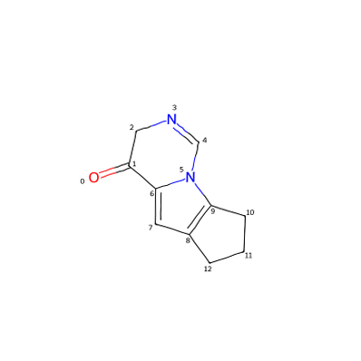 O=C1CN=Cn2c1cc1c2CCC1